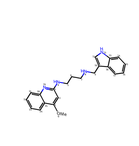 COc1cc(NCCCNCc2c[nH]c3ccccc23)nc2ccccc12